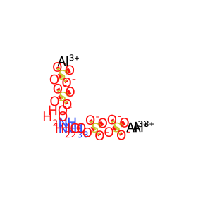 N.N.N.O.O.O.O=S(=O)([O-])[O-].O=S(=O)([O-])[O-].O=S(=O)([O-])[O-].O=S(=O)([O-])[O-].[Al+3].[Al+3].[Al+3].[OH-]